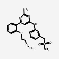 COCCOc1ccccc1-c1cc(Nc2cccc(CS(N)(=O)=O)c2)nc(C)n1